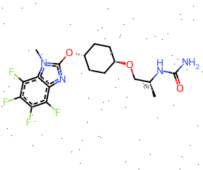 C[C@@H](CO[C@H]1CC[C@H](Oc2nc3c(F)c(F)c(F)c(F)c3n2C)CC1)NC(N)=O